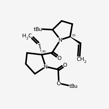 C=C[C@@H]1CCC(C(C)(C)C)N1C(=O)[C@]1(C=C)CCCN1C(=O)OC(C)(C)C